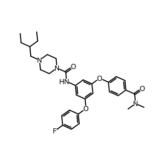 CCC(CC)CN1CCN(C(=O)Nc2cc(Oc3ccc(F)cc3)cc(Oc3ccc(C(=O)N(C)C)cc3)c2)CC1